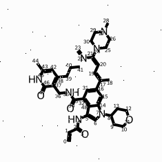 C=CC(=O)Nc1cn(C2CCOCC2)c2cc(/C(C)=C/C=C(\N=C)N3CCN(C)CC3)cc(C(=O)NCc3c(CCC)cc(C)[nH]c3=O)c12